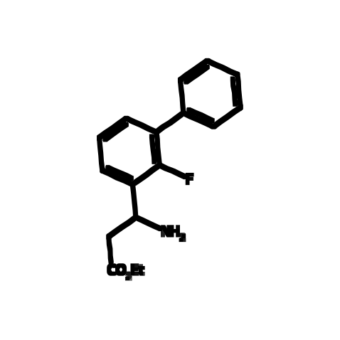 CCOC(=O)CC(N)c1cccc(-c2ccccc2)c1F